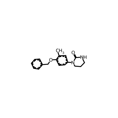 Cc1cc(N2CCCNC2=O)ccc1OCc1ccccc1